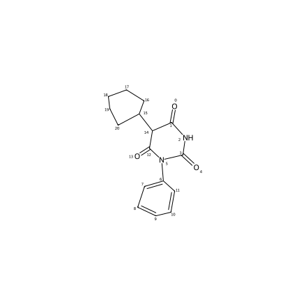 O=C1NC(=O)N(c2ccccc2)C(=O)C1C1CCCCC1